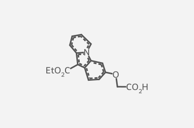 CCOC(=O)c1c2ccc(OCC(=O)O)cc2n2ccccc12